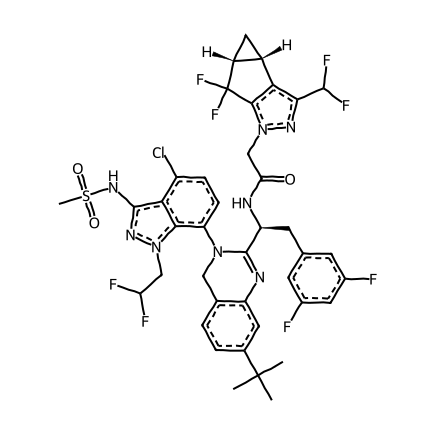 CC(C)(C)c1ccc2c(c1)N=C([C@H](Cc1cc(F)cc(F)c1)NC(=O)Cn1nc(C(F)F)c3c1C(F)(F)[C@@H]1C[C@H]31)N(c1ccc(Cl)c3c(NS(C)(=O)=O)nn(CC(F)F)c13)C2